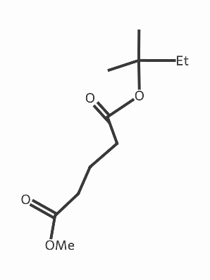 CCC(C)(C)OC(=O)CCCC(=O)OC